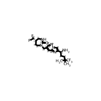 CC(C)(CC[C@H](N)c1cn2ncc(CN3CC[C@H](C(F)F)CNC3=O)cc2n1)C(F)(F)F